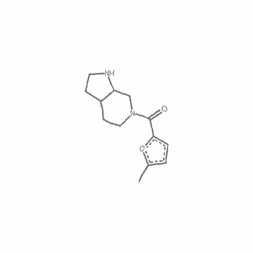 Cc1ccc(C(=O)N2CCC3CCNC3C2)o1